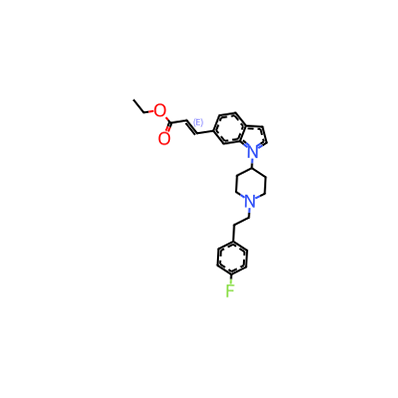 CCOC(=O)/C=C/c1ccc2ccn(C3CCN(CCc4ccc(F)cc4)CC3)c2c1